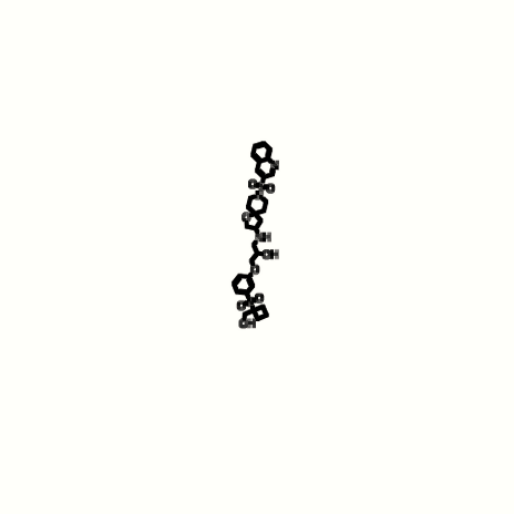 O=S(=O)(c1cnc2ccccc2c1)N1CCC2(CC1)CC(NCC(O)COc1cccc(S(=O)(=O)C3(CO)CCC3)c1)CO2